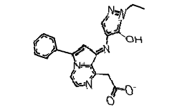 CCn1ncc(N=C2C=C(c3ccccc3)[n+]3ccnc(CC(=O)[O-])c32)c1O